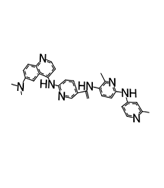 C=C(Nc1ccc(Nc2ccnc(C)c2)nc1C)c1ccc(Nc2ccnc3ccc(N(C)C)cc23)nc1